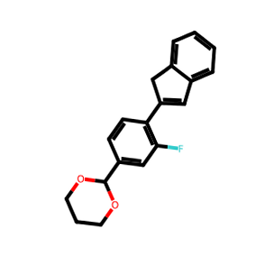 Fc1cc(C2OCCCO2)ccc1C1=Cc2ccccc2C1